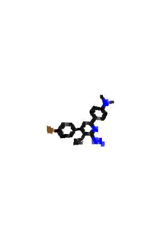 CN(C)c1ccc(-c2cc(-c3ccc(Br)cc3)c(C#N)c(N)n2)cc1